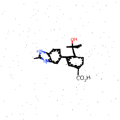 Cc1nc2cc(-c3cc(C(=O)O)ccc3C(C)(C)O)ccc2[nH]1